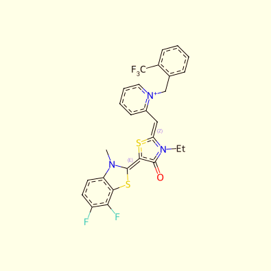 CCn1c(=O)/c(=C2\Sc3c(ccc(F)c3F)N2C)s/c1=C\c1cccc[n+]1Cc1ccccc1C(F)(F)F